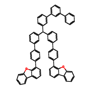 c1ccc(-c2cccc(-c3cccc(C(c4cccc(-c5ccc(-c6cccc7c6oc6ccccc67)cc5)c4)c4cccc(-c5ccc(-c6cccc7c6oc6ccccc67)cc5)c4)c3)c2)cc1